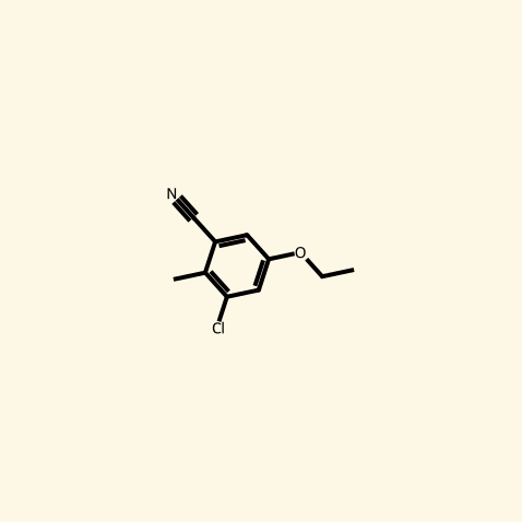 CCOc1cc(Cl)c(C)c(C#N)c1